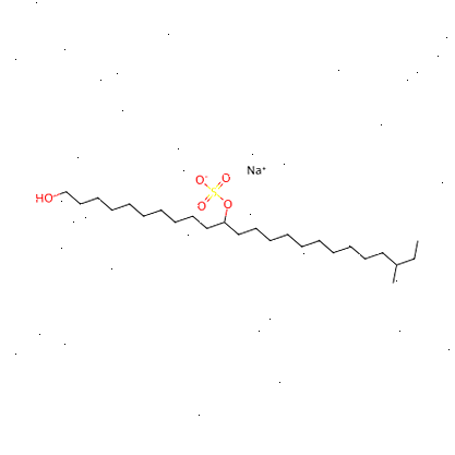 CCC(C)CCCCCCCCCCC(CCCCCCCCCCO)OS(=O)(=O)[O-].[Na+]